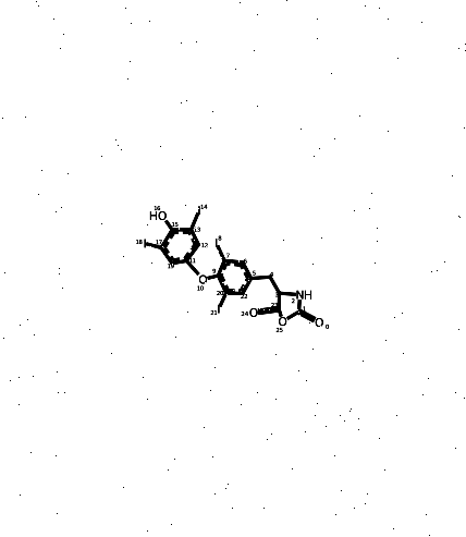 O=C1NC(Cc2cc(I)c(Oc3cc(I)c(O)c(I)c3)c(I)c2)C(=O)O1